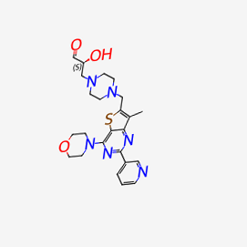 Cc1c(CN2CCN(C[C@H](O)C=O)CC2)sc2c(N3CCOCC3)nc(-c3cccnc3)nc12